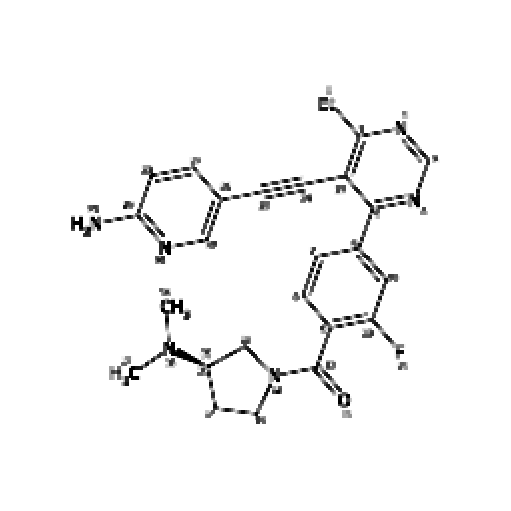 CCc1ncnc(-c2ccc(C(=O)N3CC[C@@H](N(C)C)C3)c(F)c2)c1C#Cc1ccc(N)nc1